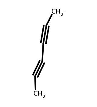 [CH2]C#CC#C[CH2]